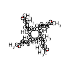 COc1cc(O)c2cc1C(c1ccc(C(=O)OCC(=O)OC3(C)C4CC5CC3CC(C)(C5)C4)cc1)c1cc(c(OC)cc1O)C(c1ccc(C(=O)OCC(=O)OC3(C)C4CC5CC3CC(C)(C5)C4)cc1)c1cc(c(CO)cc1O)C(c1ccc(C(=O)OCC(=O)OC3(C)C4CC5CC3CC(C)(C5)C4)cc1)c1cc(c(CO)cc1O)C2c1ccc(C(=O)OCC(=O)OC2(C)C3CC4CC2CC(C)(C4)C3)cc1